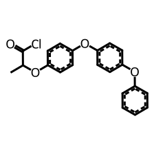 CC(Oc1ccc(Oc2ccc(Oc3ccccc3)cc2)cc1)C(=O)Cl